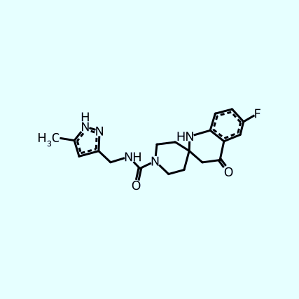 Cc1cc(CNC(=O)N2CCC3(CC2)CC(=O)c2cc(F)ccc2N3)n[nH]1